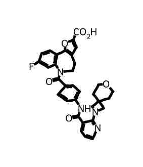 O=C(O)c1cc2c(o1)-c1ccc(F)cc1N(C(=O)c1ccc(NC(=O)c3cccnc3N3CC4(CCOCC4)C3)cc1)CC2